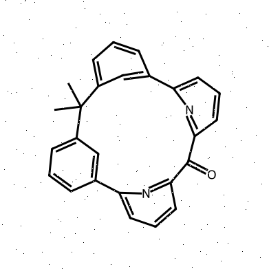 CC1(C)c2cccc(c2)-c2cccc(n2)C(=O)c2cccc(n2)-c2cccc1c2